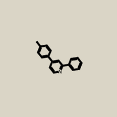 Cc1ccc(-c2ccnc(-c3ccccc3)c2)cc1